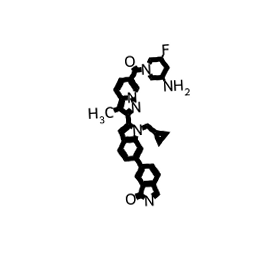 Cc1c(-c2cc3ccc(-c4ccc5c(c4)C(=O)N=C5)cc3n2CC2CC2)nn2cc(C(=O)N3C[C@H](N)C[C@@H](F)C3)ccc12